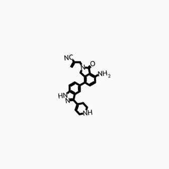 C=C(C#N)CN1Cc2c(-c3ccc4[nH]nc(C5=CCNCC5)c4c3)ccc(N)c2C1=O